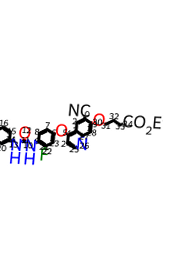 [C-]#[N+]c1cc2c(Oc3ccc(NC(=O)Nc4ccc(F)cc4)c(F)c3)ccnc2cc1OCCCC(=O)OCC